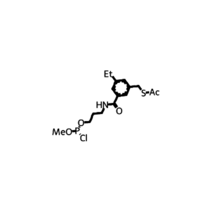 CCc1cc(CSC(C)=O)cc(C(=O)NCCCOP(Cl)OC)c1